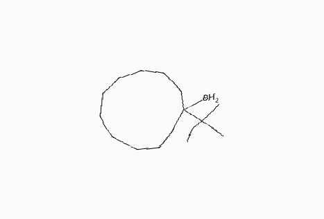 BC1(C(C)(C)C)CCCCCCCCCC1